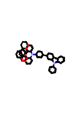 c1ccc(-n2c3ccccc3c3ccc(-c4ccc(N(c5ccccc5-c5cccc6cccc(C7CCCCC7)c56)c5cccc6oc7ccccc7c56)cc4)cc32)cc1